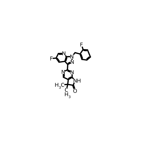 CC1(C)C(=O)Nc2nc(-c3nn(Cc4ccccc4F)c4ncc(F)cc34)ncc21